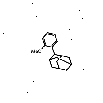 COc1ccccc1C1[C]2CC3CC(C2)CC1C3